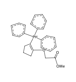 COC(=O)COC1=C([PH](c2ccccc2)(c2ccccc2)c2ccccc2)CCC1